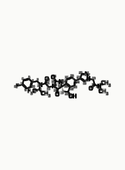 C[C@H](N(Cc1ccc(F)cc1)C(=O)CN1C(=O)N[C@]2(C[C@H](O)c3cc(-c4cnn(CC(=O)N(C)C)c4)ccc32)C1=O)C(F)(F)F